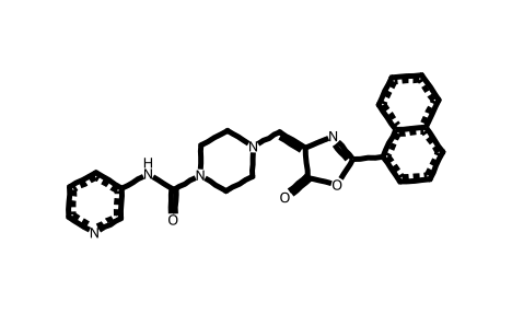 O=C1OC(c2cccc3ccccc23)=N/C1=C/N1CCN(C(=O)Nc2cccnc2)CC1